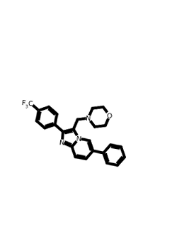 FC(F)(F)c1ccc(-c2nc3ccc(-c4ccccc4)cn3c2CN2CCOCC2)cc1